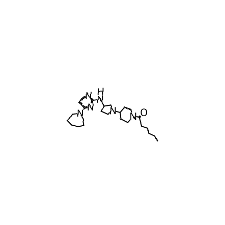 CCCCCC(=O)N1CCC(N2CCC(Nc3nccc(N4CCCCCC4)n3)C2)CC1